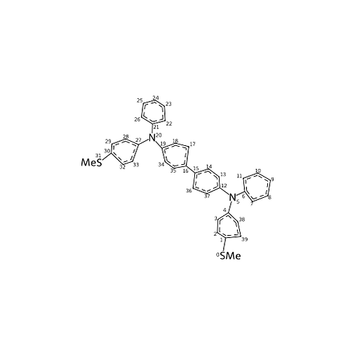 CSc1ccc(N(c2ccccc2)c2ccc(-c3ccc(N(c4ccccc4)c4ccc(SC)cc4)cc3)cc2)cc1